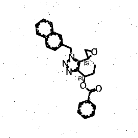 O=C(O[C@@H]1CC[C@@]2(CO2)c2c1nnn2Cc1ccc2ccccc2c1)c1ccccc1